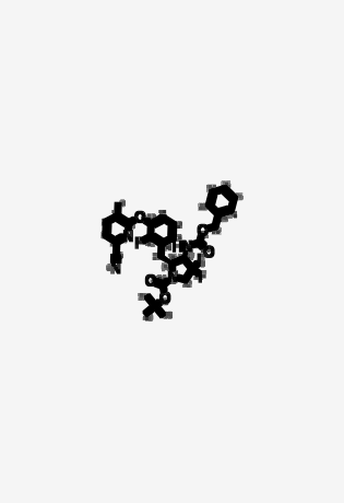 Cc1ccc(C#N)nc1Oc1cccc(C[C@H]2[C@@H](NC(=O)OCc3ccccc3)C(F)(F)CN2C(=O)OC(C)(C)C)c1F